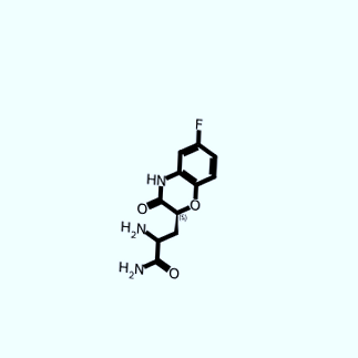 NC(=O)C(N)C[C@@H]1Oc2ccc(F)cc2NC1=O